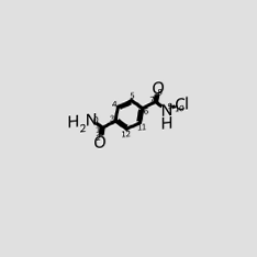 NC(=O)c1ccc(C(=O)NCl)cc1